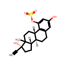 C#C[C@]1(O)CC[C@H]2[C@@H]3CCc4cc(O)cc(O[SH](=O)=O)c4[C@H]3CCC21C